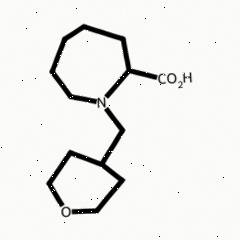 O=C(O)C1CCCCCN1CC1CCOCC1